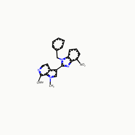 COc1nccc2c(-c3nc4c([N+](=O)[O-])cccc4n3Cc3ccccc3)cn(C)c12